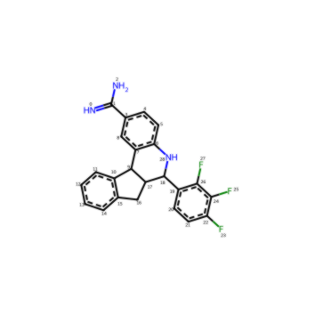 N=C(N)c1ccc2c(c1)C1c3ccccc3CC1C(c1ccc(F)c(F)c1F)N2